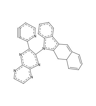 c1ccnc(-c2nc3nccnc3nc2-n2c3c(c4ccccc42)C=C2C=CC=CC2C3)c#1